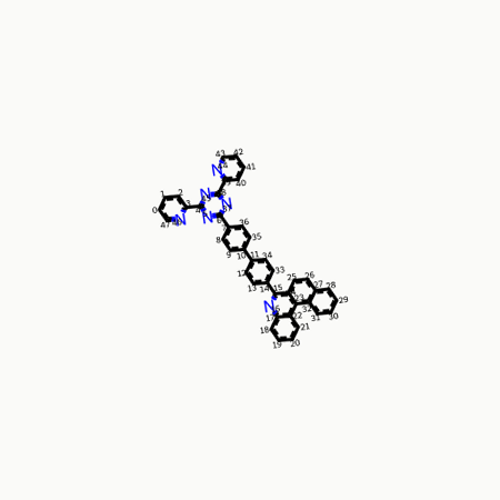 c1ccc(-c2nc(-c3ccc(-c4ccc(-c5nc6ccccc6c6c5ccc5ccccc56)cc4)cc3)nc(-c3ccccn3)n2)nc1